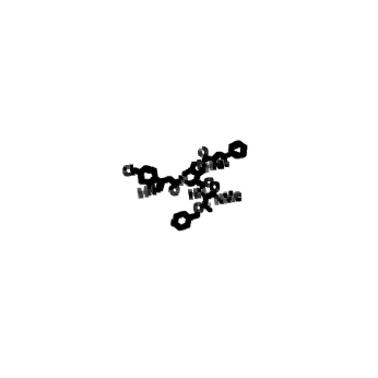 CNC(=O)[C@@H](NC(=O)C1CN(C(=O)Cc2c[nH]c3cc(Cl)ccc23)CC2CN(C(=O)c3cc(-c4ccccc4)n[nH]3)CC21)[C@@H](C)OCC1CCCCC1